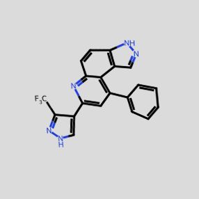 FC(F)(F)c1n[nH]cc1-c1cc(-c2ccccc2)c2c(ccc3[nH]ncc32)n1